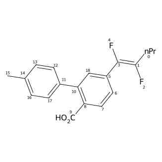 CCC/C(F)=C(\F)c1ccc(C(=O)O)c(-c2ccc(C)cc2)c1